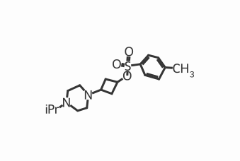 Cc1ccc(S(=O)(=O)OC2CC(N3CCN(C(C)C)CC3)C2)cc1